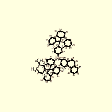 C=CC1=C(/C=C\C)C2(c3cc(N(c4ccc5c(c4)-c4ccccc4C5(c4ccccc4)c4ccccc4)c4ccc5c(ccc6ccccc65)c4)ccc31)c1ccccc1-c1ccccc12